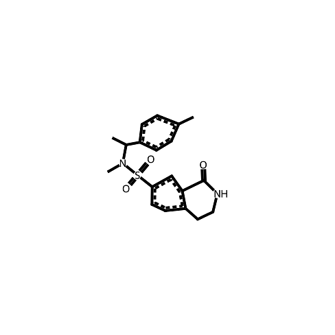 Cc1ccc(C(C)N(C)S(=O)(=O)c2ccc3c(c2)C(=O)NCC3)cc1